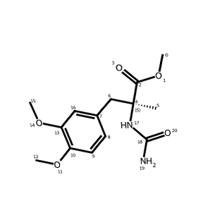 COC(=O)[C@](C)(Cc1ccc(OC)c(OC)c1)NC(N)=O